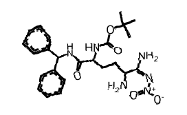 CC(C)(C)OC(=O)NC(CCC(N)/C(N)=N\[N+](=O)[O-])C(=O)NC(c1ccccc1)c1ccccc1